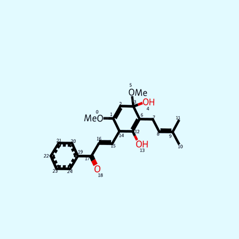 COC1=CC(O)(OC)C(CC=C(C)C)=C(O)C1/C=C/C(=O)c1ccccc1